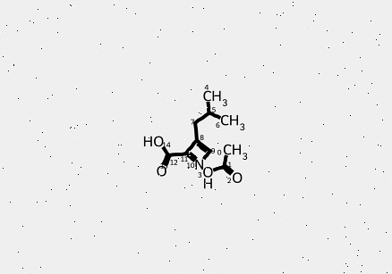 CC(=O)O.CC(C)CC1=CN=C1C(=O)O